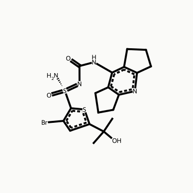 CC(C)(O)c1cc(Br)c([S@@](N)(=O)=NC(=O)Nc2c3c(nc4c2CCC4)CCC3)s1